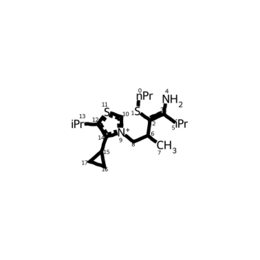 CCCS/C(=C(\N)C(C)C)C(C)C[n+]1csc(C(C)C)c1C1CC1